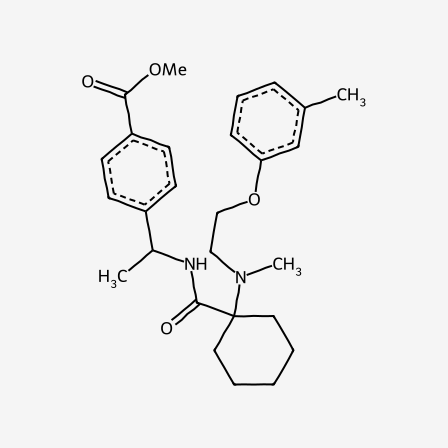 COC(=O)c1ccc(C(C)NC(=O)C2(N(C)CCOc3cccc(C)c3)CCCCC2)cc1